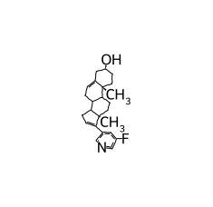 C[C@]12CC[C@H](O)CC1=CCC1C2CC[C@]2(C)C(c3cncc(F)c3)=CCC12